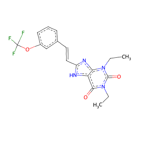 CCn1c(=O)c2[nH]c(C=Cc3cccc(OC(F)(F)F)c3)nc2n(CC)c1=O